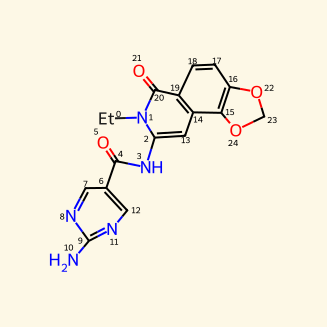 CCn1c(NC(=O)c2cnc(N)nc2)cc2c3c(ccc2c1=O)OCO3